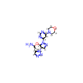 C=C(N)Oc1c(-n2ccnn2)cnn1-c1cc(N2CCOCC2)ncn1